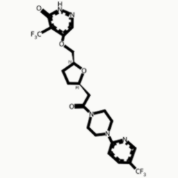 O=C(C[C@H]1CC[C@@H](COc2cn[nH]c(=O)c2C(F)(F)F)O1)N1CCN(c2ccc(C(F)(F)F)cn2)CC1